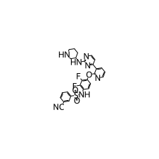 N#Cc1cccc(S(=O)(=O)Nc2ccc(Oc3ncccc3-c3ccnc(NC4CCCNC4)n3)c(F)c2F)c1